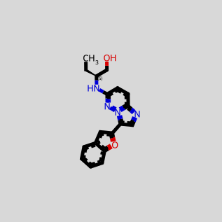 CC[C@@H](CO)Nc1ccc2ncc(-c3cc4ccccc4o3)n2n1